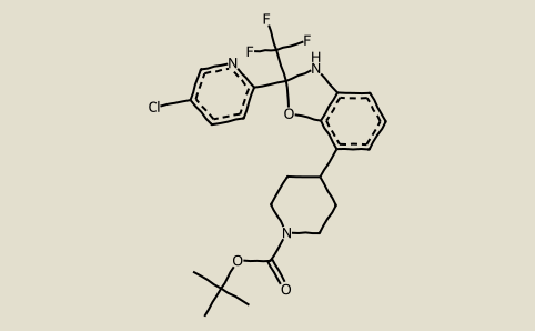 CC(C)(C)OC(=O)N1CCC(c2cccc3c2OC(c2ccc(Cl)cn2)(C(F)(F)F)N3)CC1